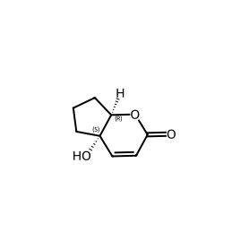 O=C1C=C[C@@]2(O)CCC[C@H]2O1